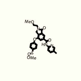 COCCN1Cc2c(Oc3ccc(SOOC)cc3)cc(C(=O)Nc3ccc(C)cn3)cc2C1=O